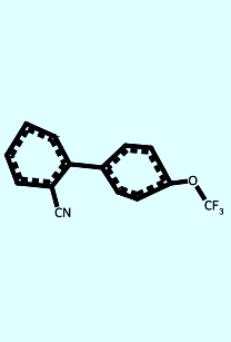 N#Cc1ccc[c]c1-c1ccc(OC(F)(F)F)cc1